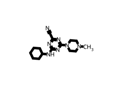 CN1CCN(c2nc(C#N)nc(NC3CCCCC3)n2)CC1